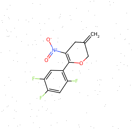 C=C1COC(c2cc(F)c(F)cc2F)=C([N+](=O)[O-])C1